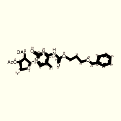 CC(=O)OC1C(OC(C)=O)[C@@H](C)O[C@H]1n1cc(I)c(NC(=O)OCCCOCc2ccccc2)nc1=O